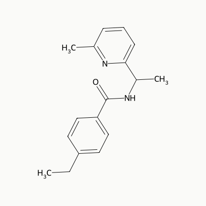 CCc1ccc(C(=O)NC(C)c2cccc(C)n2)cc1